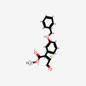 COC(=O)c1c(C=O)sc2ccc(OCc3ccccc3)cc12